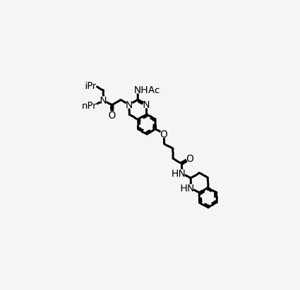 CCCN(CC(C)C)C(=O)CN1Cc2ccc(OCCCC(=O)NC3CCc4ccccc4N3)cc2N=C1NC(C)=O